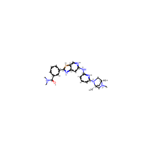 CN(C)C(=O)c1cccc(-c2nc3cc(Nc4cccc(N5C[C@@H]6C[C@H]5CN6C)n4)ncc3s2)c1